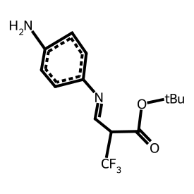 CC(C)(C)OC(=O)C(C=Nc1ccc(N)cc1)C(F)(F)F